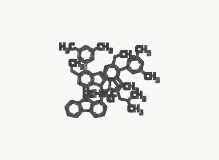 CCc1ccc2c(c1-c1cc(C)cc(C)c1)C=C(CC(C)C)[CH]2[Zr]([Cl])([Cl])([c]1cccc2c1[SiH2]c1ccccc1-2)[CH]1C(CC(C)C)=Cc2c1ccc(CC)c2-c1cc(C)cc(C)c1